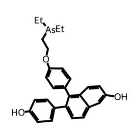 CC[As](CC)CCOc1ccc(-c2c(-c3ccc(O)cc3)ccc3cc(O)ccc23)cc1